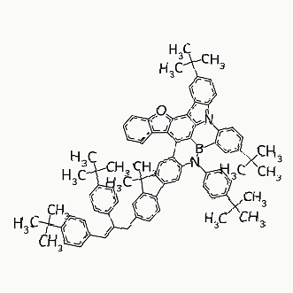 CC(C)(C)c1ccc(/C=C(/Cc2ccc3c(c2)C(C)(C)c2cc4c(cc2-3)N(c2ccc(C(C)(C)C)cc2)B2c3cc(C(C)(C)C)ccc3-n3c5ccc(C(C)(C)C)cc5c5c6oc7ccccc7c6c-4c2c53)c2ccc(C(C)(C)C)cc2)cc1